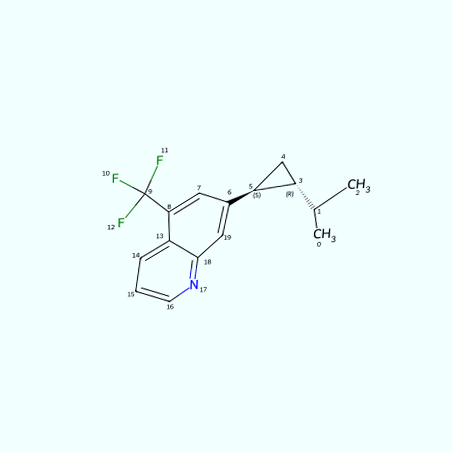 CC(C)[C@H]1C[C@@H]1c1cc(C(F)(F)F)c2cccnc2c1